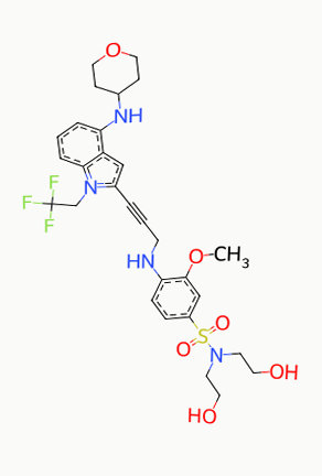 COc1cc(S(=O)(=O)N(CCO)CCO)ccc1NCC#Cc1cc2c(NC3CCOCC3)cccc2n1CC(F)(F)F